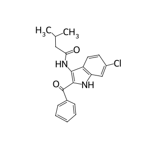 CC(C)CC(=O)Nc1c(C(=O)c2ccccc2)[nH]c2cc(Cl)ccc12